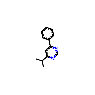 CC(C)c1cc(-c2ccccc2)ncn1